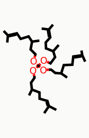 CC(C)=CCCC(C)CCOC(OCCC(C)CCC=C(C)C)(OCCC(C)CCC=C(C)C)OCCC(C)CCC=C(C)C